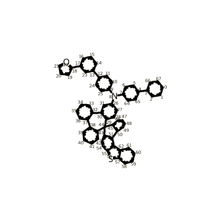 c1ccc(-c2ccc(N(c3ccc(-c4cccc(-c5ccco5)c4)cc3)c3ccc4c(c3)-c3ccccc3-c3ccccc3C43c4ccccc4-c4c3ccc3sc5ccccc5c43)cc2)cc1